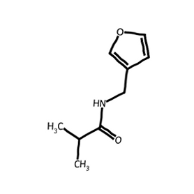 CC(C)C(=O)NCc1ccoc1